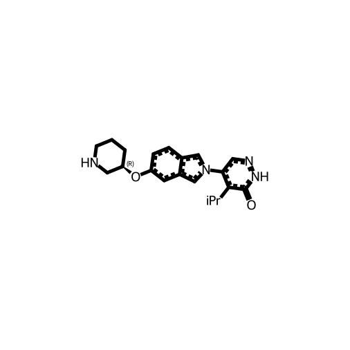 CC(C)c1c(-n2cc3ccc(O[C@@H]4CCCNC4)cc3c2)cn[nH]c1=O